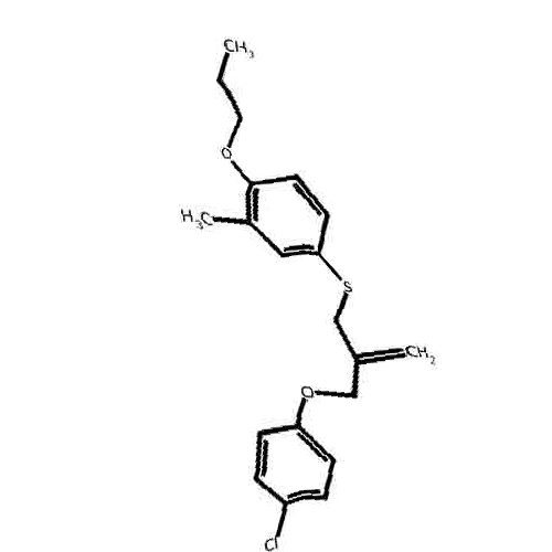 C=C(COc1ccc(Cl)cc1)CSc1ccc(OCCC)c(C)c1